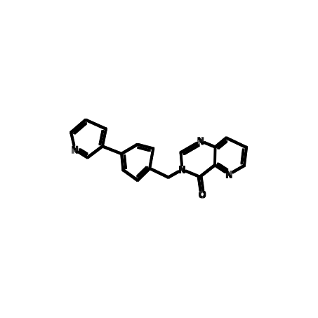 O=c1c2ncccc2ncn1Cc1ccc(-c2cccnc2)cc1